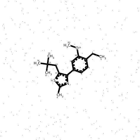 CCc1ccc(-c2nc(C)sc2CC(C)(C)C)cc1OC